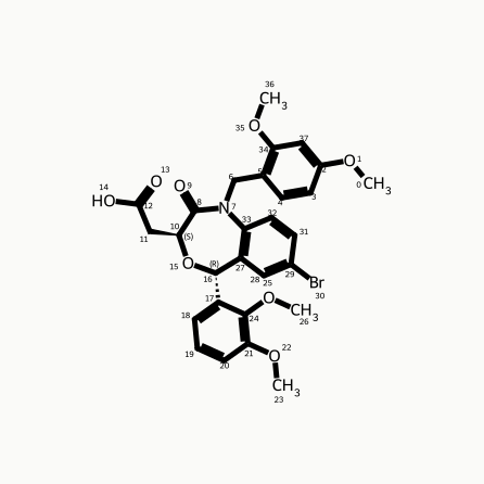 COc1ccc(CN2C(=O)[C@H](CC(=O)O)O[C@@H](c3cccc(OC)c3OC)c3cc(Br)ccc32)c(OC)c1